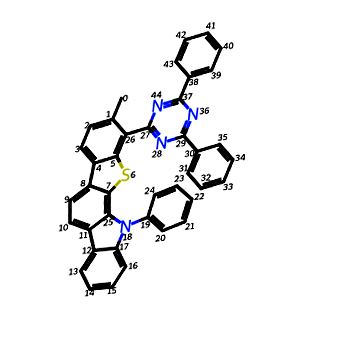 Cc1ccc2c(sc3c2ccc2c4ccccc4n(-c4ccccc4)c23)c1-c1nc(-c2ccccc2)nc(-c2ccccc2)n1